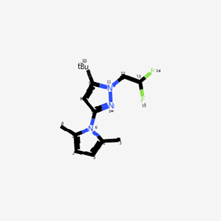 Cc1ccc(C)n1-c1cc(C(C)(C)C)n(CC(F)F)n1